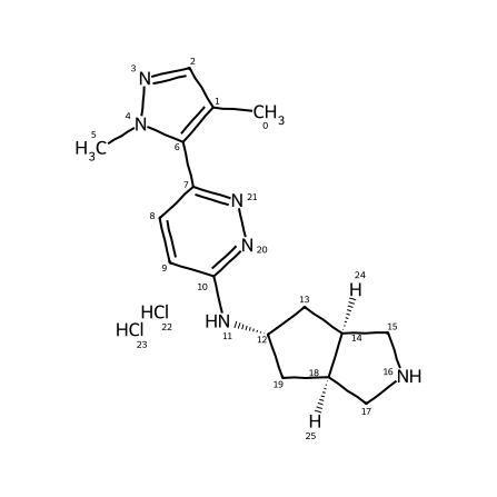 Cc1cnn(C)c1-c1ccc(N[C@@H]2C[C@H]3CNC[C@H]3C2)nn1.Cl.Cl